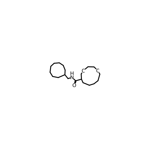 O=C(NCC1CCCCCCCC1)C1CCCCCCCCCC1